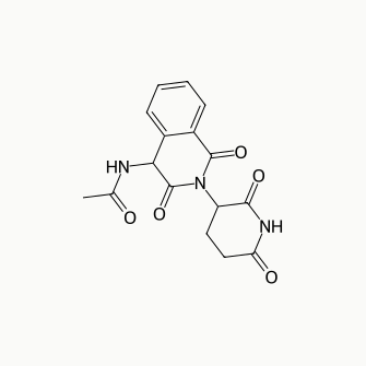 CC(=O)NC1C(=O)N(C2CCC(=O)NC2=O)C(=O)c2ccccc21